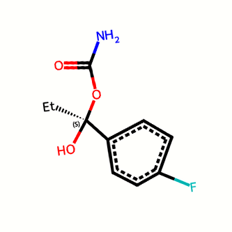 CC[C@](O)(OC(N)=O)c1ccc(F)cc1